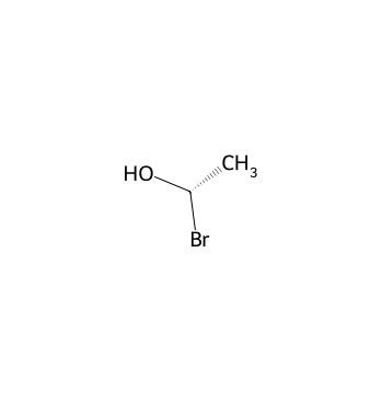 C[C@@H](O)Br